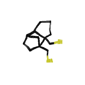 SCC12CCC(C1)C1CCCC12CS